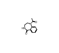 CC(=O)N1CCNC(=O)c2ccccc21